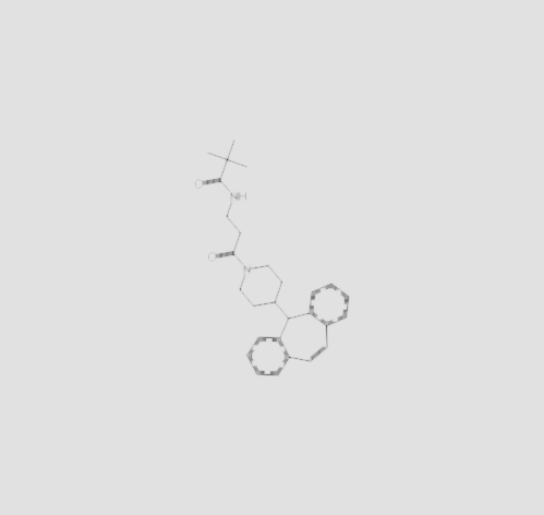 CC(C)(C)C(=O)NCCC(=O)N1CCC(C2c3ccccc3C=Cc3ccccc32)CC1